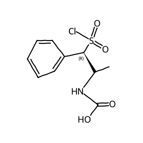 CC(NC(=O)O)[C@@H](c1ccccc1)S(=O)(=O)Cl